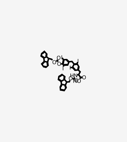 O=C(NC(Cc1cc(I)c(Cc2cc(I)c(OC(=O)OCC3c4ccccc4-c4ccccc43)c(I)c2)c(I)c1)C(=O)O)OCC1c2ccccc2-c2ccccc21